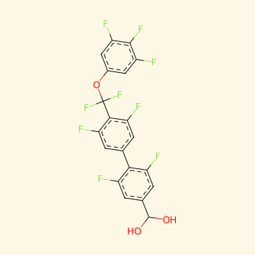 OC(O)c1cc(F)c(-c2cc(F)c(C(F)(F)Oc3cc(F)c(F)c(F)c3)c(F)c2)c(F)c1